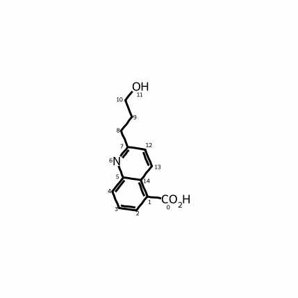 O=C(O)c1cccc2nc(CCCO)ccc12